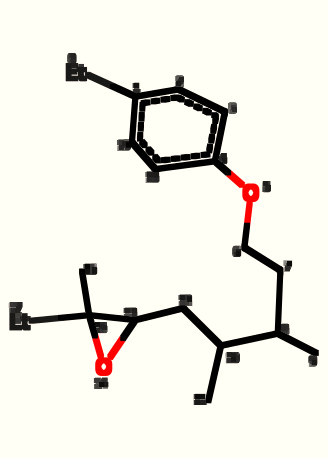 CCc1ccc(OCCC(C)C(C)CC2OC2(C)CC)cc1